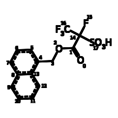 O=C(OCc1cccc2ccccc12)C(F)(C(F)(F)F)S(=O)(=O)O